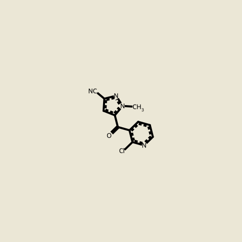 Cn1nc(C#N)cc1C(=O)c1cccnc1Cl